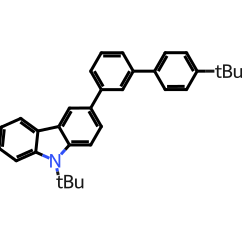 CC(C)(C)c1ccc(-c2cccc(-c3ccc4c(c3)c3ccccc3n4C(C)(C)C)c2)cc1